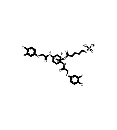 O=C(COc1ccc(Cl)c(F)c1)NC12CCC(NC(=O)COc3ccc(Cl)c(F)c3)(CC1)[C@H](OC(=O)CCCCOP(=O)(O)O)C2